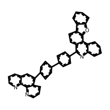 c1cnc2c(c1)cc(-c1ccc(-c3ccc(-c4nc5ccccc5c5c4ccc4c6ccccc6oc45)cc3)cc1)c1cccnc12